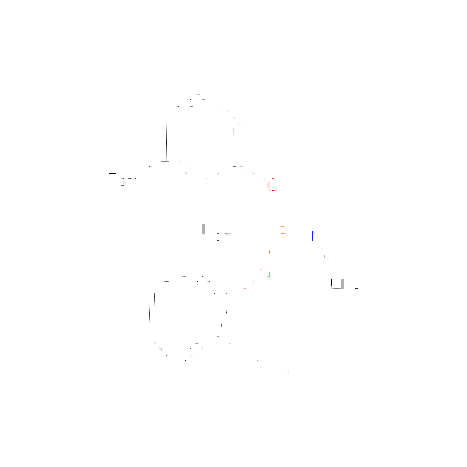 CN=P(C)(Oc1cccc(C)c1)Oc1ccccc1C